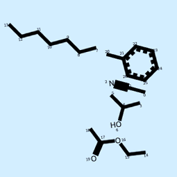 CC#N.CC(C)O.CCCCCCC.CCOC(C)=O.Cc1ccccc1